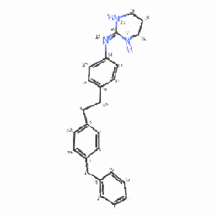 c1ccc(Cc2ccc(CCc3ccc(N=C4NCCCN4)cc3)cc2)cc1